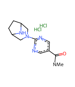 CNC(=O)c1cnc(N2CC3CCC(C2)N3)nc1.Cl.Cl